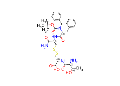 C[C@@H](O)[C@H](N)C(=O)N[C@@H](CSSC[C@H](NC(=O)[C@@H](Cc1ccccc1)N(Cc1ccccc1)C(=O)OC(C)(C)C)C(N)=O)C(=O)O